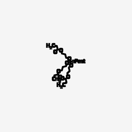 C=CC(=O)OCCCOC(CCCCC)(OCCCOC(=O)C=C)OCCCOC(=O)C=C